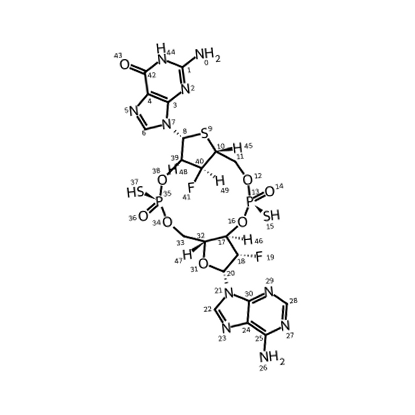 Nc1nc2c(ncn2[C@@H]2S[C@@H]3CO[P@@](=O)(S)O[C@H]4[C@H](F)[C@H](n5cnc6c(N)ncnc65)O[C@@H]4CO[P@@](=O)(S)O[C@@H]2[C@@H]3F)c(=O)[nH]1